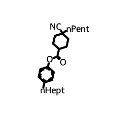 CCCCCCCc1ccc(OC(=O)C2CCC(C#N)(CCCCC)CC2)cc1